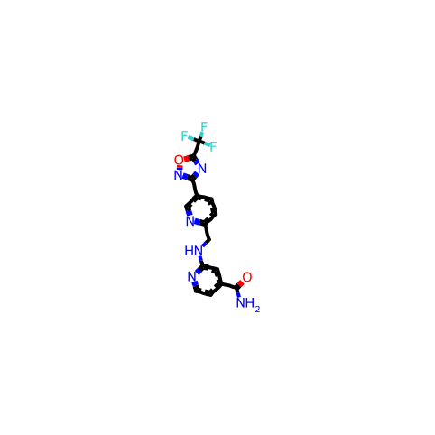 NC(=O)c1ccnc(NCc2ccc(-c3noc(C(F)(F)F)n3)cn2)c1